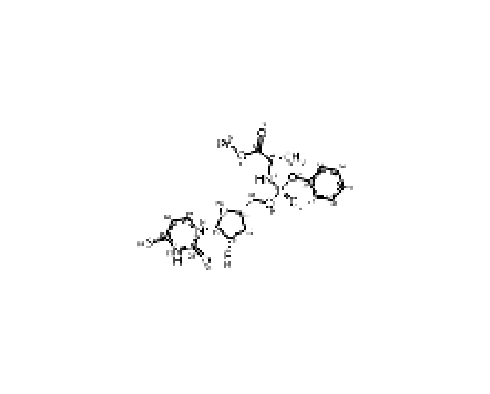 CC(C)OC(=O)[C@H](C)NP(=O)(OC[C@@H]1C[C@H](F)[C@H](n2ccc(=S)[nH]c2=O)O1)Oc1ccccc1